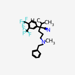 CC(C)C(C#N)(CCCN(C)CCc1ccccc1)c1ccc(C(F)(F)F)c(C(F)(F)F)c1